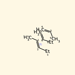 C/C=C/CC.C=CC.C=CCC